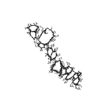 c1cccc(-c2cccc3ccccc23)c2ccccc2c(-c2ccc3cc(-c4ccc5sc6c(ccc7c6ccc6c8ccccc8sc67)c5c4)ccc3c2)cc1